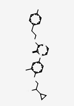 Cc1cc(-n2ccnc(SCCc3ccc(F)cc3)c2=O)ccc1OCC(O)C1CC1